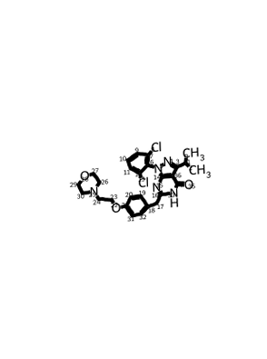 CC(C)c1nn(-c2c(Cl)cccc2Cl)c2nc(Cc3ccc(OCCN4CCOCC4)cc3)[nH]c(=O)c12